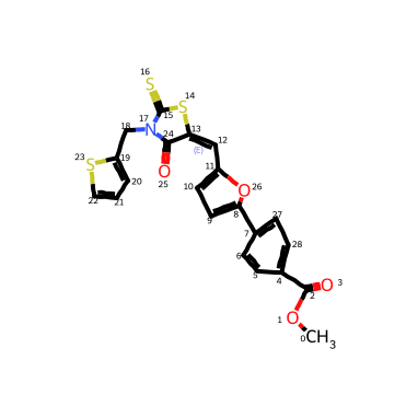 COC(=O)c1ccc(-c2ccc(/C=C3/SC(=S)N(Cc4cccs4)C3=O)o2)cc1